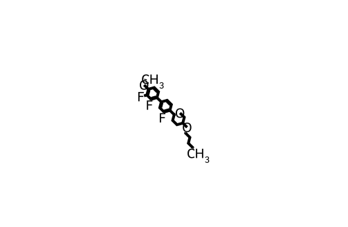 CCCCCOC1CCC(c2ccc(-c3ccc(OC)c(F)c3F)cc2F)OC1